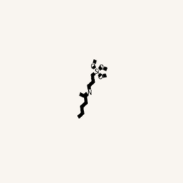 CCCC/C(C)=N/CCC[Si](OC)(OC)OC